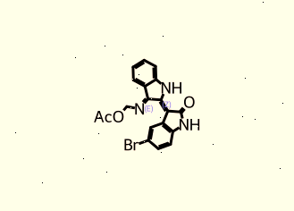 CC(=O)OC/N=C1/C(=C2/C(=O)Nc3ccc(Br)cc32)Nc2ccccc21